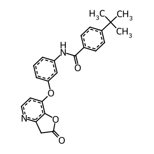 CC(C)(C)c1ccc(C(=O)Nc2cccc(Oc3ccnc4c3OC(=O)C4)c2)cc1